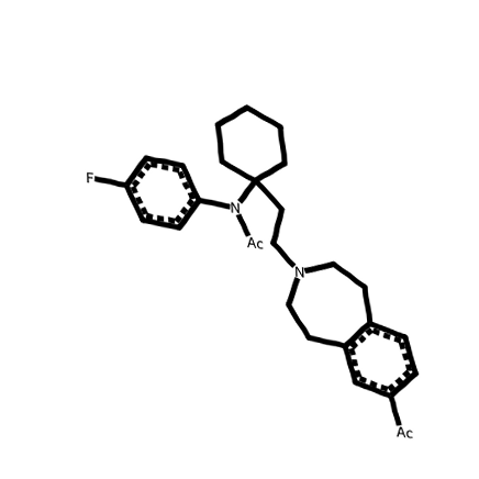 CC(=O)c1ccc2c(c1)CCN(CCC1(N(C(C)=O)c3ccc(F)cc3)CCCCC1)CC2